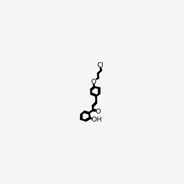 O=C(/C=C/c1ccc(OCCCCl)cc1)c1ccccc1O